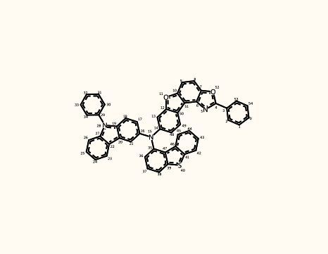 c1ccc(-c2nc3c(ccc4oc5cc(N(c6ccc7c(c6)c6ccccc6n7-c6ccccc6)c6cccc7sc8ccccc8c67)ccc5c43)o2)cc1